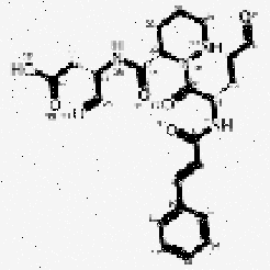 O=CCC[C@H](NC(=O)/C=C/c1ccccc1)C(=O)N1NCCC[C@H]1C(=O)N[C@H](C=O)CC(=O)O